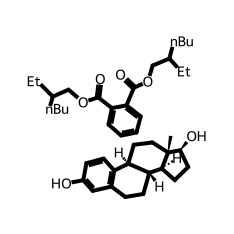 CCCCC(CC)COC(=O)c1ccccc1C(=O)OCC(CC)CCCC.C[C@]12CC[C@@H]3c4ccc(O)cc4CC[C@H]3[C@@H]1CC[C@@H]2O